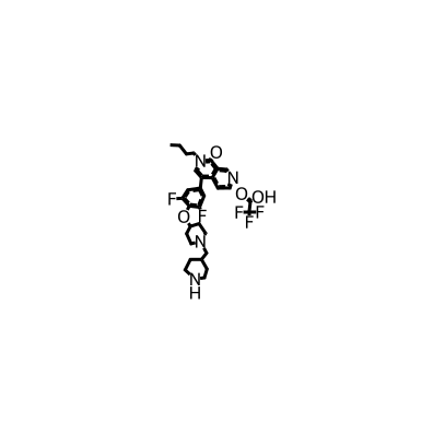 CCCCn1cc(-c2cc(F)c(OC3CCN(CC4CCNCC4)CC3)c(F)c2)c2ccncc2c1=O.O=C(O)C(F)(F)F